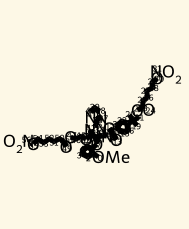 COc1ccccc1Oc1c(NS(=O)(=O)c2ccc(C(C)(C)COC(=O)CCCCCO[N+](=O)[O-])cc2)nc(-c2ncccn2)nc1OCCOC(=O)CCCCCO[N+](=O)[O-]